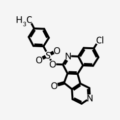 Cc1ccc(S(=O)(=O)Oc2nc3cc(Cl)ccc3c3c2C(=O)c2ccncc2-3)cc1